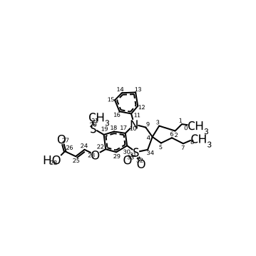 CCCCC1(CCCC)CN(c2ccccc2)c2cc(SC)c(O/C=C/C(=O)O)cc2S(=O)(=O)C1